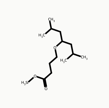 CC(C)CC(CC(C)C)OCCCC(=O)O[SiH3]